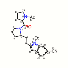 CCn1c(CCC2CCCN2C(=O)C2CCCN2C(C)=O)cc2ccc(C#N)cc21